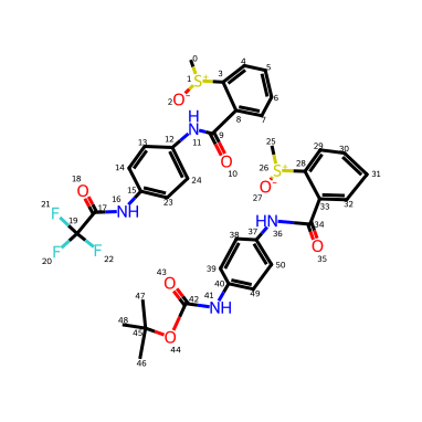 C[S+]([O-])c1ccccc1C(=O)Nc1ccc(NC(=O)C(F)(F)F)cc1.C[S+]([O-])c1ccccc1C(=O)Nc1ccc(NC(=O)OC(C)(C)C)cc1